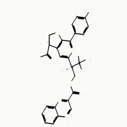 C[C@]1(C(N)=O)COc2c1cc([C@@](O)(CNC(=O)c1cnc3ccccc3n1)C(F)(F)F)nc2-c1ccc(F)cc1